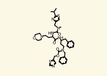 CC(C)c1nc(CN(C)C(=O)NC(CCN2CCOCC2)C(=O)NC(CCN(Cc2ccccc2)C(=O)OCc2cncs2)Cc2ccccc2)cs1